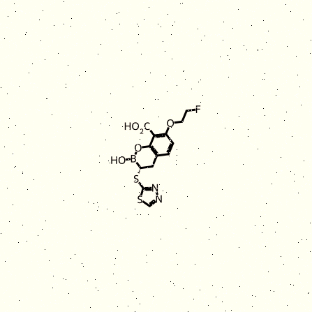 O=C(O)c1c(OCCF)ccc2c1OB(O)[C@@H](Sc1nncs1)C2